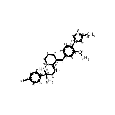 COc1cc(/C=C2\CCCN3NC(C)(c4ccc(F)cc4)CN=C23)ccc1-n1cnc(C)c1